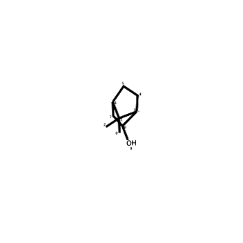 CC1(C)[C]2CCC1CC2O